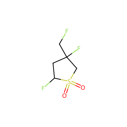 O=S1(=O)CC(F)(CF)CC1F